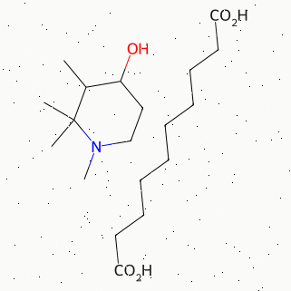 CC1C(O)CCN(C)C1(C)C.O=C(O)CCCCCCCCC(=O)O